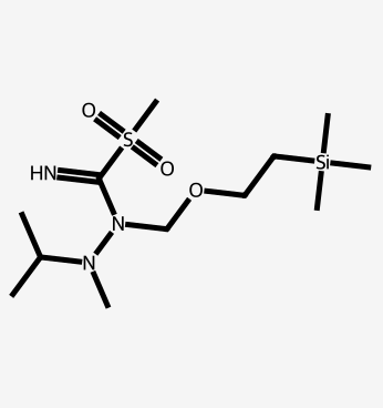 CC(C)N(C)N(COCC[Si](C)(C)C)C(=N)S(C)(=O)=O